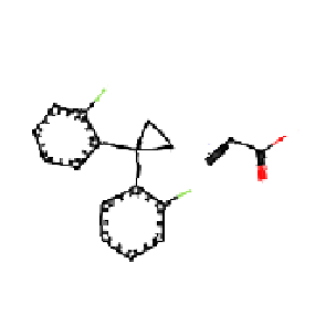 O=C(O)/C=C/[C@H]1CC1(c1ccccc1F)c1ccccc1F